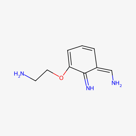 N=C1C(OCCN)=CC=C/C1=C/N